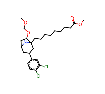 COCOC1CC2CC(c3ccc(Cl)c(Cl)c3)CC1(CCCCCCCCC(=O)OC)N2